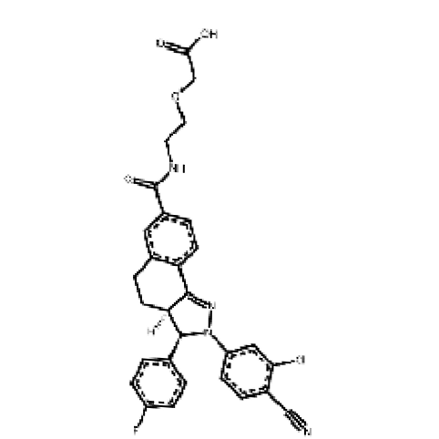 N#Cc1ccc(N2N=C3c4ccc(C(=O)NCCOCC(=O)O)cc4CC[C@@H]3[C@@H]2c2ccc(F)cc2)cc1Cl